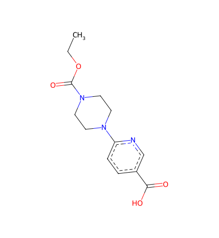 CCOC(=O)N1CCN(c2ccc(C(=O)O)cn2)CC1